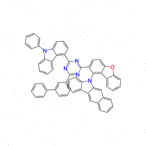 c1ccc(-c2cccc(-c3nc(-c4ccc5oc6ccccc6c5c4-n4c5ccccc5c5cc6ccccc6cc54)nc(-c4cccc5c4c4ccccc4n5-c4ccccc4)n3)c2)cc1